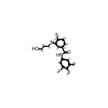 O=C(Nc1cc(F)c(F)c(F)c1)c1ccc(F)c(SCCCO)c1